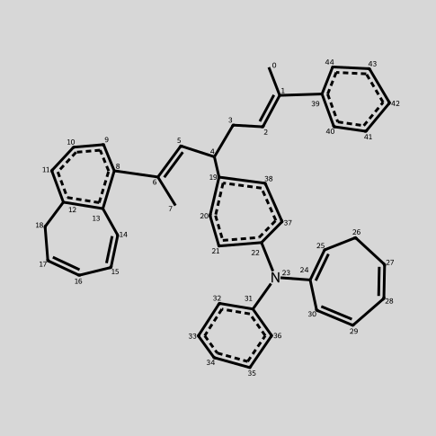 C/C(=C\CC(/C=C(\C)c1cccc2c1C=CC=CC2)c1ccc(N(C2=CCC=CC=C2)c2ccccc2)cc1)c1ccccc1